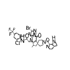 CC1CC2(CCN(C(=O)c3nccc4cc[nH]c34)CC2)c2c1n(CC(=O)Nc1ccc(C(F)(F)F)cc1Cl)c1nc(Br)nn1c2=O